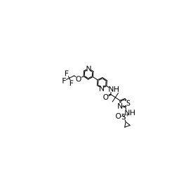 CC(C)(C(=O)Nc1ccc(-c2cncc(OCC(F)(F)F)c2)cn1)c1csc(N[S+]([O-])C2CC2)n1